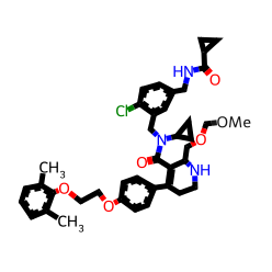 COCOCC1NCCC(c2ccc(OCCOc3c(C)cccc3C)cc2)=C1C(=O)N(Cc1cc(CNC(=O)C2CC2)ccc1Cl)C1CC1